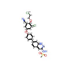 CS(=O)(=O)Nc1cc2ccc(-c3ccc(Oc4cc(Cl)c(OCCCl)c(C#N)c4)cc3)cc2nn1